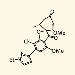 CCn1ccc(-c2cc(OC)c3c(c2Cl)O[C@]2(C3=O)C(OC)=CC(=O)C[C@H]2C)n1